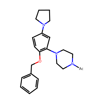 CC(=O)N1CCN(c2cc(N3CCCC3)ccc2OCc2ccccc2)CC1